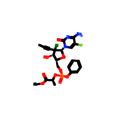 CC#CC1(Cl)[C@@H](O)[C@@H](CO[P@](=O)(Oc2ccccc2)O[C@@H](C)C(=O)OC(C)C)O[C@H]1n1cc(F)c(N)nc1=O